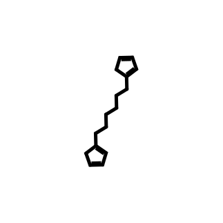 C1=CCC(CCCCCCC2=CC=CC2)=C1